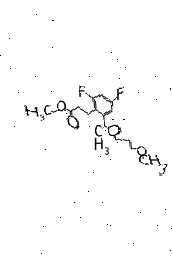 CCOC(=O)CCc1c(F)cc(F)cc1[C@@H](C)OCCCOC